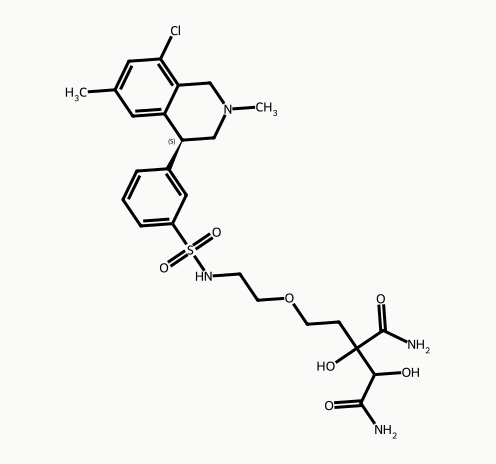 Cc1cc(Cl)c2c(c1)[C@H](c1cccc(S(=O)(=O)NCCOCCC(O)(C(N)=O)C(O)C(N)=O)c1)CN(C)C2